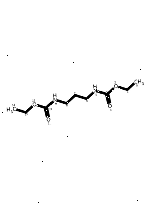 CCOC(=O)NCCCNC(=O)OCC